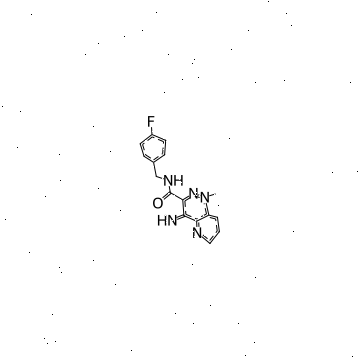 Cn1nc(C(=O)NCc2ccc(F)cc2)c(=N)c2ncccc21